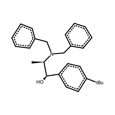 C[C@H]([C@H](O)c1ccc(C(C)(C)C)cc1)N(Cc1ccccc1)Cc1ccccc1